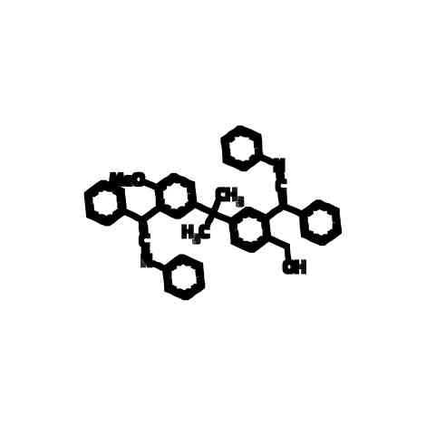 COc1ccc(C(C)(C)c2ccc(CO)c(C(=C=Nc3ccccc3)c3ccccc3)c2)cc1C(=C=Nc1ccccc1)c1ccccc1